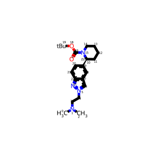 CN(C)CCn1cc2cc([C@@H]3CCCCN3C(=O)OC(C)(C)C)ccc2n1